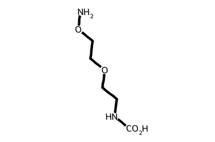 NOCCOCCNC(=O)O